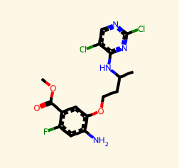 COC(=O)c1cc(OCCC(C)Nc2nc(Cl)ncc2Cl)c(N)cc1F